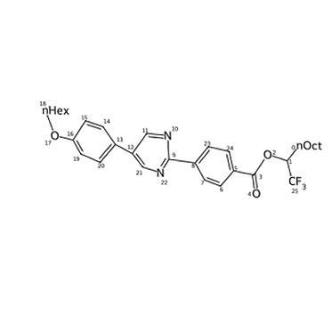 CCCCCCCCC(OC(=O)c1ccc(-c2ncc(-c3ccc(OCCCCCC)cc3)cn2)cc1)C(F)(F)F